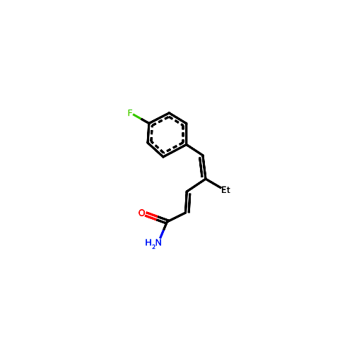 CCC(C=CC(N)=O)=Cc1ccc(F)cc1